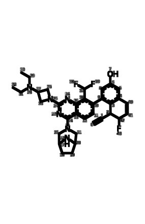 C#CC1c2c(cc(O)cc2-c2ccc3c(N4CC5CCC(C4)N5)nc(N4CC(N(CC)CC)C4)nc3c2C(F)F)C=CC1F